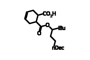 CCCCCCCCCCCCC(OC(=O)C1CC=CCC1C(=O)O)C(C)CC